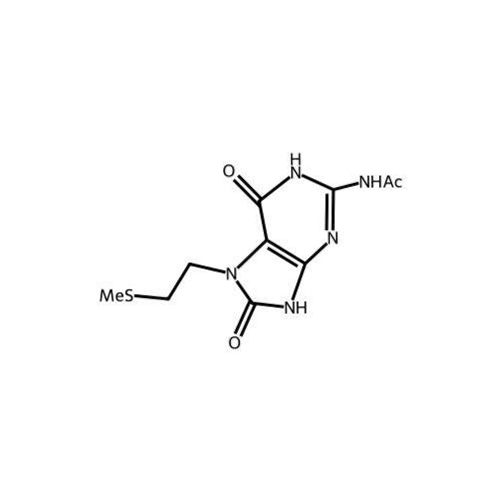 CSCCn1c(=O)[nH]c2nc(NC(C)=O)[nH]c(=O)c21